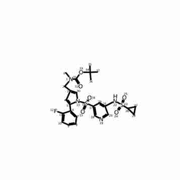 CN(Cc1cc(-c2ccccc2F)n(S(=O)(=O)c2cncc(NS(=O)(=O)C3CC3)c2)c1)C(=O)OC(C)(C)C